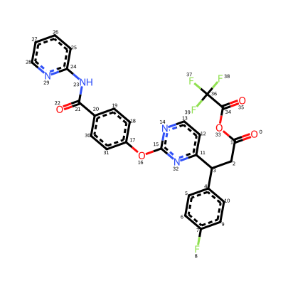 O=C(CC(c1ccc(F)cc1)c1ccnc(Oc2ccc(C(=O)Nc3ccccn3)cc2)n1)OC(=O)C(F)(F)F